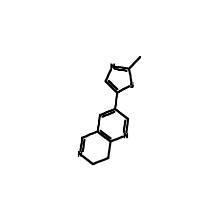 Cc1ncc(-c2cnc3c(c2)C=NCC3)s1